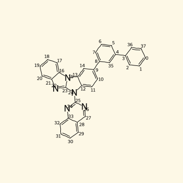 c1ccc(-c2cccc(-c3ccc4c(c3)n3c5ccccc5nc3n4-c3ncc4ccccc4n3)c2)cc1